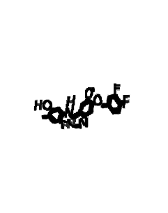 COc1cc2c(Nc3cc(O)c(C)cc3F)ncnc2cc1OCc1ccc(F)c(F)c1